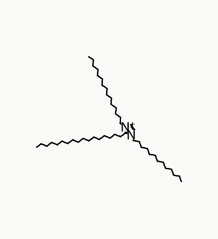 CCCCCCCCCCCCCCCCCc1n(CCCCCCCCCCCCC)cc[n+]1CCCCCCCCCCCCCCC